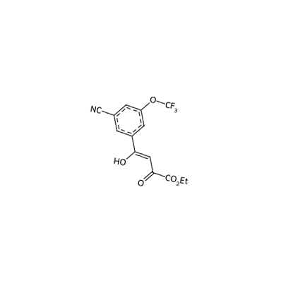 CCOC(=O)C(=O)/C=C(\O)c1cc(C#N)cc(OC(F)(F)F)c1